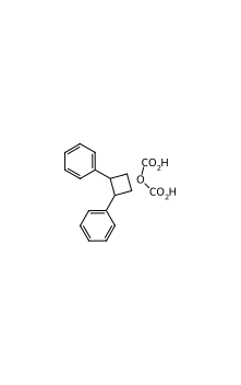 O=C(O)OC(=O)O.c1ccc(C2CCC2c2ccccc2)cc1